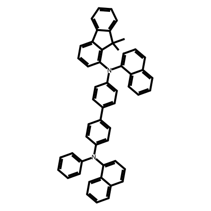 CC1(C)c2ccccc2-c2cccc(N(c3ccc(-c4ccc(N(c5ccccc5)c5cccc6ccccc56)cc4)cc3)c3cccc4ccccc34)c21